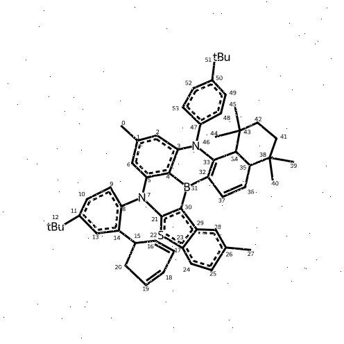 Cc1cc2c3c(c1)N(c1ccc(C(C)(C)C)cc1C1C=CC=CC1)c1sc4ccc(C)cc4c1B3C1=C(C3C(C=C1)C(C)(C)CCC3(C)C)N2c1ccc(C(C)(C)C)cc1